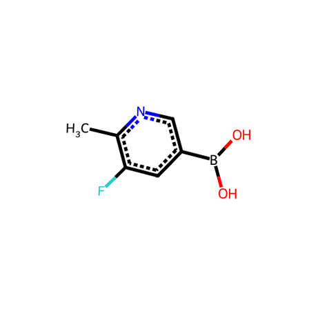 Cc1ncc(B(O)O)cc1F